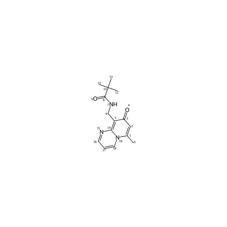 Cc1cc(=O)c(CNC(=O)C(C)(C)C)c2ncccn12